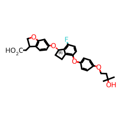 CC(C)(O)CCOc1ccc(Oc2ccc(F)c3c2CC[C@H]3Oc2ccc3c(c2)OCC3CC(=O)O)cc1